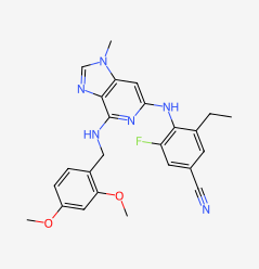 CCc1cc(C#N)cc(F)c1Nc1cc2c(ncn2C)c(NCc2ccc(OC)cc2OC)n1